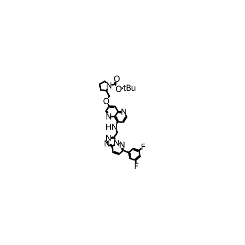 CC(C)(C)OC(=O)N1CCCC1COc1cnc2c(NCc3nnc4ccc(-c5cc(F)cc(F)c5)nn34)ccnc2c1